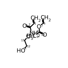 C=CC(N)=O.C=COC(C)=O.OCCO